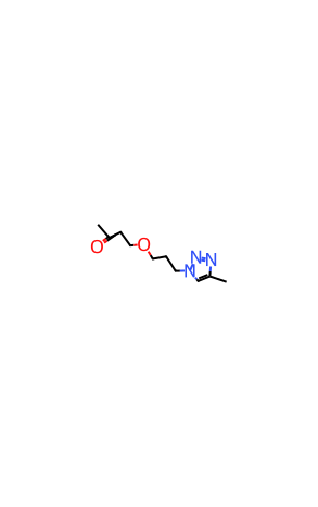 CC(=O)CCOCCCn1cc(C)nn1